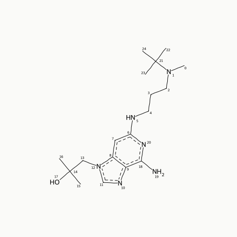 CN(CCCNc1cc2c(ncn2CC(C)(C)O)c(N)n1)C(C)(C)C